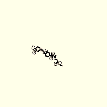 CCOC(=O)CCN(C)S(=O)(=O)c1ccc(CNc2ccc(OC)c(OC)c2)cc1